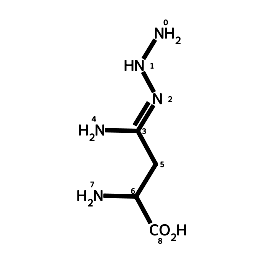 NN/N=C(\N)CC(N)C(=O)O